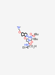 CCC1CC1(NC(=O)C1CC(Oc2nccc3cc(OCCN(C)C)ccc23)CN1C(=O)C(NC(=O)OC(C)(C)C)C(C)(C)C)C(=O)O